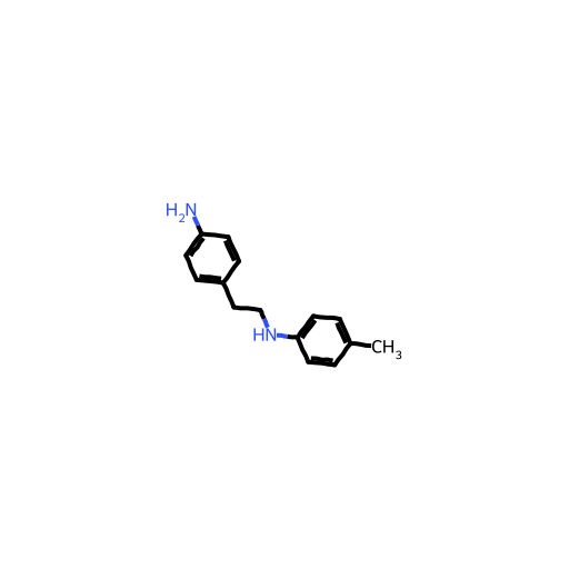 Cc1ccc(NCCc2ccc(N)cc2)cc1